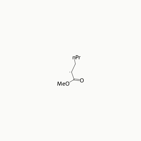 CCCC[CH]C(=O)OC